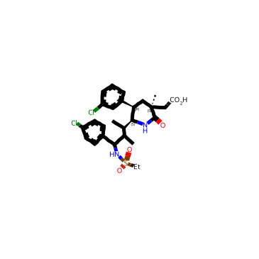 CCS(=O)(=O)NC(c1ccc(Cl)cc1)C(C)C(C)[C@@H]1NC(=O)[C@](C)(CC(=O)O)C[C@@H]1c1cccc(Cl)c1